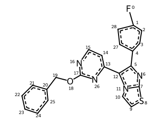 Fc1ccc(-c2nc3sccn3c2-c2ccnc(OCc3ccccc3)n2)cc1